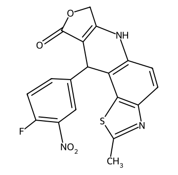 Cc1nc2ccc3c(c2s1)C(c1ccc(F)c([N+](=O)[O-])c1)C1=C(COC1=O)N3